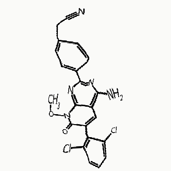 COn1c(=O)c(-c2c(Cl)cccc2Cl)cc2c(N)nc(-c3ccc(CC#N)cc3)nc21